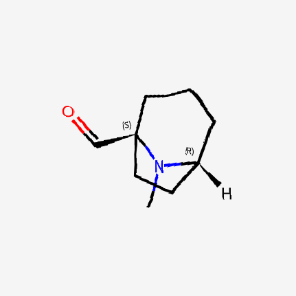 CN1[C@@H]2CCC[C@@]1(C=O)CC2